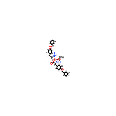 CC(C)(C)OC(=O)N[C@@H](Cc1ccc(OCc2ccccc2)cc1)C(=O)OC[C@@H](N)Cc1ccc(OCc2ccccc2)cc1